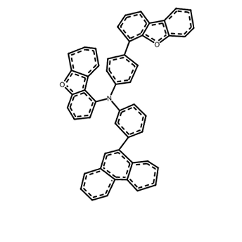 c1cc(-c2cc3ccccc3c3ccccc23)cc(N(c2ccc(-c3cccc4c3oc3ccccc34)cc2)c2cccc3oc4ccccc4c23)c1